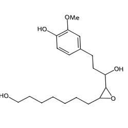 COc1cc(CCC(O)C2OC2CCCCCCCO)ccc1O